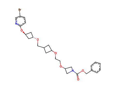 O=C(OCc1ccccc1)N1CC(OCCOC2CC(CO[C@H]3C[C@H](Oc4ccc(Br)cn4)C3)C2)C1